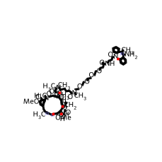 C=C[C@@H]1[C@@H]2C[C@@](O)(NC(=O)O2)[C@H](OC)/C=C/C=C(/C)Cc2cc(OC)c(Cl)c(c2)N(C)C(=O)C[C@H](OC(=O)[C@H](C)N(C)C(=O)CCCC(=O)N(C)CCOCCOCCOCCOCCC(=O)NCCC(=O)N2Cc3ccccc3/C(N)=C(/C)c3ccccc32)[C@]2(C)O[C@@H]12